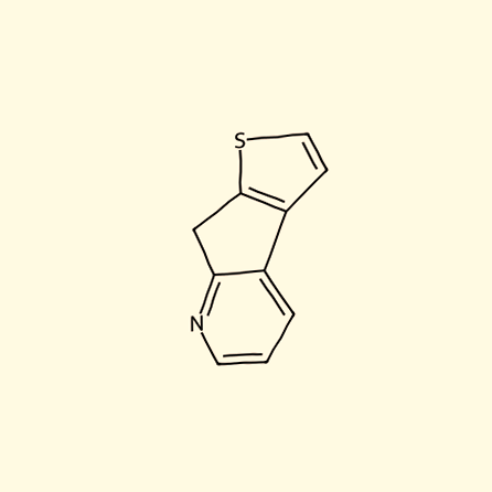 c1cnc2c(c1)-c1ccsc1C2